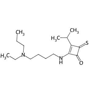 CCCN(CC)CCCCNc1c(C(C)C)c(=S)c1=O